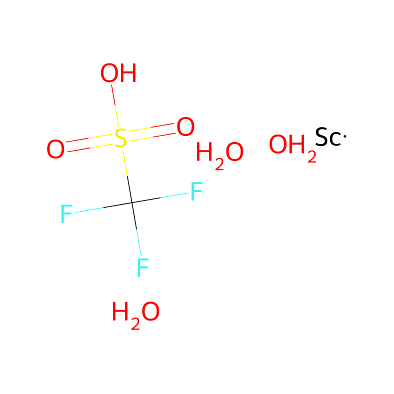 O.O.O.O=S(=O)(O)C(F)(F)F.[Sc]